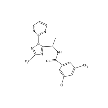 CC(NC(=O)c1cc(Cl)cc(C(F)(F)F)c1)c1nc(C(F)(F)F)nn1-c1ncccn1